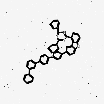 c1ccc(-c2cccc(-c3ccc(-c4ccc(-c5ccc6oc7cccc(-c8nc(-c9ccccc9)nc(-c9ccccc9)n8)c7c6c5)cc4)cc3)c2)cc1